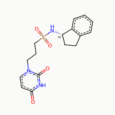 O=c1ccn(CCCS(=O)(=O)N[C@H]2CCc3ccccc32)c(=O)[nH]1